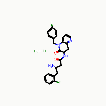 Cl.Cl.N[C@@H](CC(=O)NC1Cc2ncccc2N(Cc2ccc(F)cc2)C1=O)Cc1ccccc1F